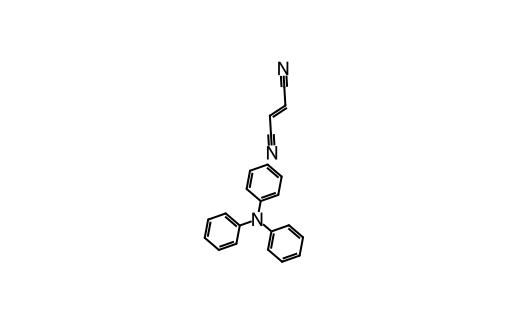 N#C/C=C/C#N.c1ccc(N(c2ccccc2)c2ccccc2)cc1